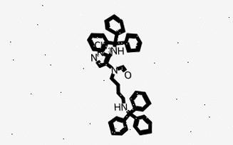 Cn1ncc(N(C=O)CCCCNC(c2ccccc2)(c2ccccc2)c2ccccc2)c1NC(c1ccccc1)(c1ccccc1)c1ccccc1